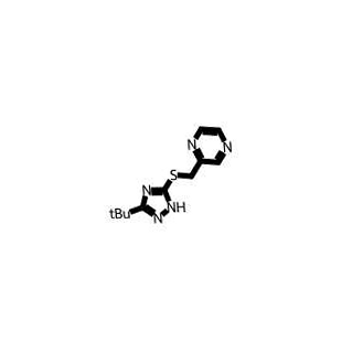 CC(C)(C)c1n[nH]c(SCc2cnccn2)n1